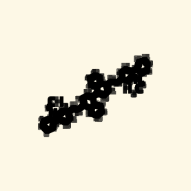 CCn1c2ccccc2c2ccc(C=Cc3ccc(-c4ccc(C=Cc5ccc6c7ccccc7n(CC)c6c5)c5ccccc45)c4ccccc34)cc21